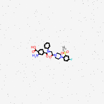 CS(=O)(=O)c1cc(F)ccc1N1CCN(C(=O)CN(C(=O)c2ccc(C(=O)O)c(N)c2)c2ccccc2)CC1